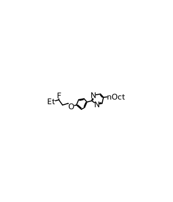 CCCCCCCCc1cnc(-c2ccc(OCCC(F)CC)cc2)nc1